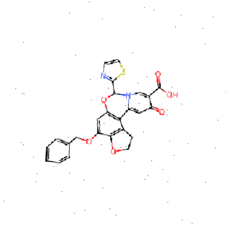 O=C(O)c1cn2c(cc1=O)-c1c(cc(OCc3ccccc3)c3c1CCO3)OC2c1nccs1